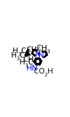 CC1(C)CC1(C)C.Cc1cc([N+]2(N3CCC[C@@H]3C)CCCC2)ccc1NC(=O)O